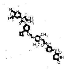 C[C@@H]1CN(CCOc2ccc(N3C(=S)N(c4cnc(C#N)c(C(F)(F)F)c4)C(=O)C3(C)C)cc2C2CCC2)C[C@H](C)N1CC(=O)Nc1cccc(NC2CCC(=O)NC2=O)c1